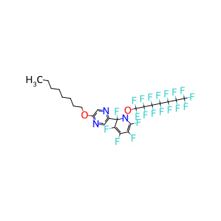 CCCCCCCCOc1cnc(C2(F)C(F)=C(F)C(F)=C(F)N2OC(F)(F)C(F)(F)C(F)(F)C(F)(F)C(F)(F)C(F)(F)C(F)(F)F)cn1